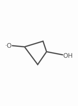 [O]C1CC(O)C1